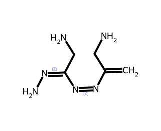 C=C(CN)/N=N\C(CN)=N/N